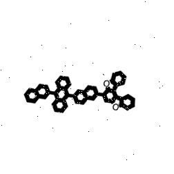 c1ccc2cc(-c3c4ccccc4c(-c4ccc5cc(-c6cc7oc8ccccc8c7c7c6oc6ccccc67)ccc5c4)c4ccccc34)ccc2c1